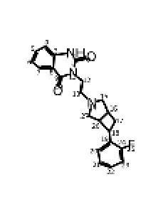 O=c1[nH]c2ccccc2c(=O)n1CCN1CC2CC(c3ccccc3F)C2C1